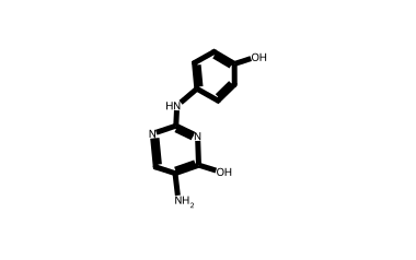 Nc1cnc(Nc2ccc(O)cc2)nc1O